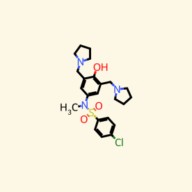 CN(c1cc(CN2CCCC2)c(O)c(CN2CCCC2)c1)S(=O)(=O)c1ccc(Cl)cc1